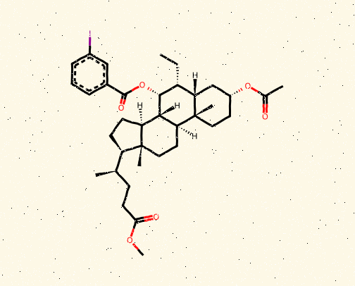 CC[C@H]1[C@@H](OC(=O)c2cccc(I)c2)[C@@H]2[C@H](CC[C@]3(C)[C@@H]([C@H](C)CCC(=O)OC)CC[C@@H]23)[C@@]2(C)CC[C@@H](OC(C)=O)C[C@@H]12